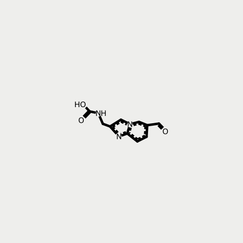 O=Cc1ccc2nc(CNC(=O)O)cn2c1